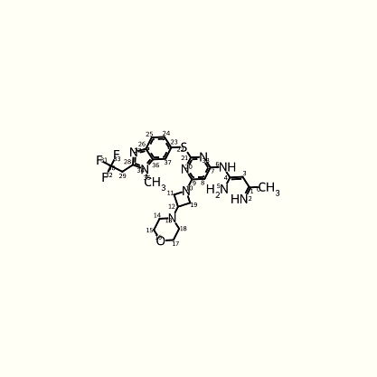 CC(=N)/C=C(\N)Nc1cc(N2CC(N3CCOCC3)C2)nc(Sc2ccc3nc(CC(F)(F)F)n(C)c3c2)n1